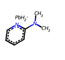 CN(C)c1ccccn1.[PbH2]